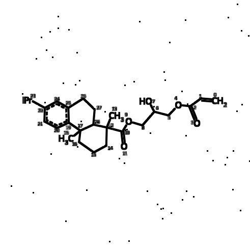 C=CC(=O)OCC(O)COC(=O)C1(C)CCCC2(C)c3ccc(C(C)C)cc3CCC12